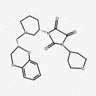 O=C1C(=O)N([C@H]2CCCN(C[C@H]3COc4ccccc4O3)C2)C(=O)N1C1CCOCC1